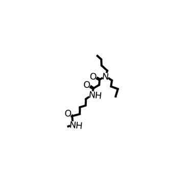 CCCCN(CCCC)C(=O)CC(=O)NCCCCC(=O)NC